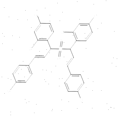 O=S(=O)(C(C=Cc1ccc(Cl)cc1)c1ccc(Cl)cc1Cl)C(C=Cc1ccc(Cl)cc1)c1ccc(Cl)cc1Cl